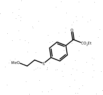 CCOC(=O)C(=O)c1ccc(SCCOC)cc1